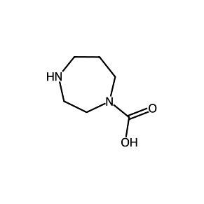 O=C(O)N1CCCNCC1